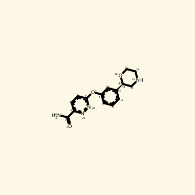 NC(=O)c1ccc(Oc2cccc([C@@H]3CNCCO3)c2)nn1